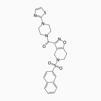 O=C(c1noc2c1CN(S(=O)(=O)c1ccc3ccccc3c1)CC2)N1CCN(c2nccs2)CC1